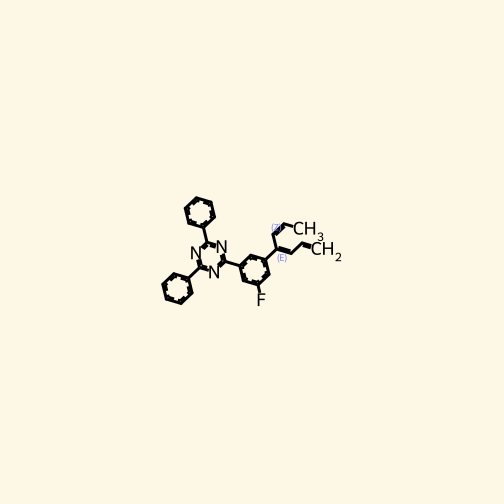 C=C/C=C(\C=C/C)c1cc(F)cc(-c2nc(-c3ccccc3)nc(-c3ccccc3)n2)c1